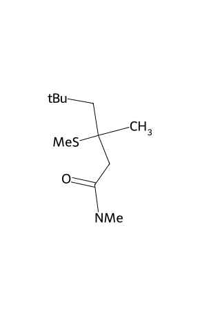 CNC(=O)CC(C)(CC(C)(C)C)SC